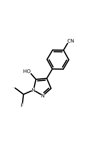 [CH2]C(F)n1ncc(-c2ccc(C#N)cc2)c1O